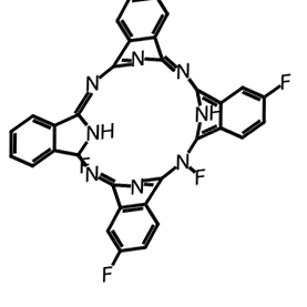 Fc1ccc2c(c1)C1=NC3(F)NC(=NC4=NC(=Nc5[nH]c(c6ccc(F)cc56)N(F)C2=N1)c1ccccc14)c1ccccc13